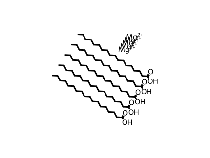 CCCCCCCCCCCCCCCCCC(=O)O.CCCCCCCCCCCCCCCCCC(=O)O.CCCCCCCCCCCCCCCCCC(=O)O.CCCCCCCCCCCCCCCCCC(=O)O.CCCCCCCCCCCCCCCCCC(=O)O.[Mg+2].[Mg+2].[Mg+2].[Mg+2].[Mg+2]